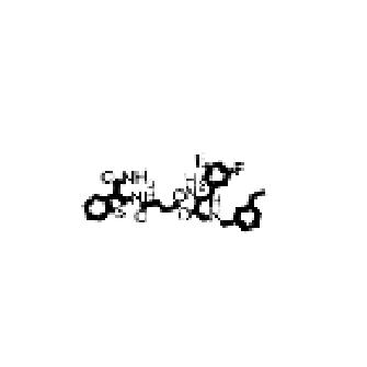 CCc1cccc(CNCC(OC(=O)CCC(=O)Nc2sc3c(c2C(N)=O)CCCC3)C(N)Cc2cc(F)cc(F)c2)c1